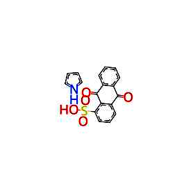 O=C1c2ccccc2C(=O)c2c1cccc2S(=O)(=O)O.c1cc[nH]c1